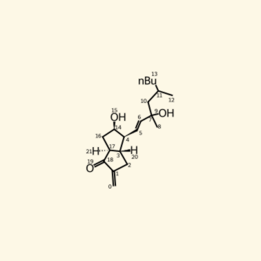 C=C1C[C@H]2[C@H](/C=C/C(C)(O)CC(C)CCCC)[C@H](O)C[C@@H]2C1=O